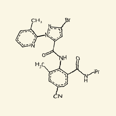 Cc1cccnc1-n1nc(Br)cc1C(=O)Nc1c(C)cc(C#N)cc1C(=O)NC(C)C